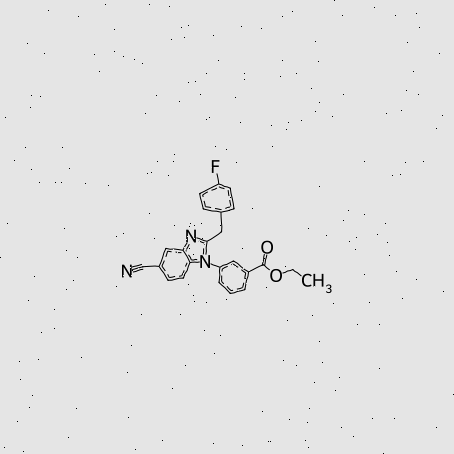 CCOC(=O)c1cccc(-n2c(Cc3ccc(F)cc3)nc3cc(C#N)ccc32)c1